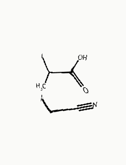 CC(I)C(=O)O.N#CCI